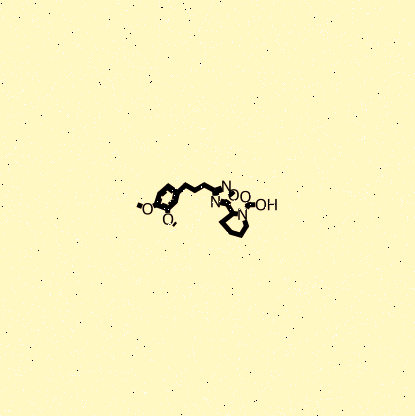 COc1ccc(CCCc2noc(C3CCCCN3C(=O)O)n2)cc1OC